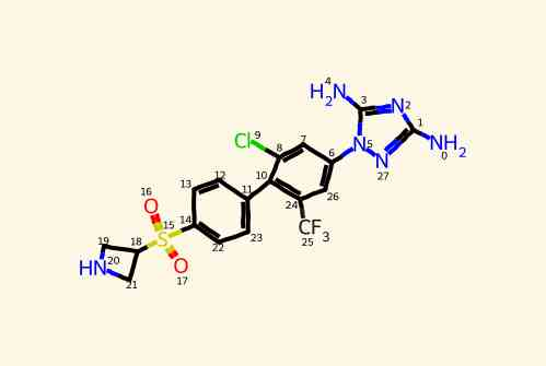 Nc1nc(N)n(-c2cc(Cl)c(-c3ccc(S(=O)(=O)C4CNC4)cc3)c(C(F)(F)F)c2)n1